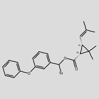 [2H]C(OC(=O)[C@@H]1[C@H](C=C(C)C)C1(C)C)c1cccc(Oc2ccccc2)c1